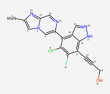 CNc1cn2cc(-c3c(Cl)c(F)c(C#CCO)c4[nH]ncc34)ncc2n1